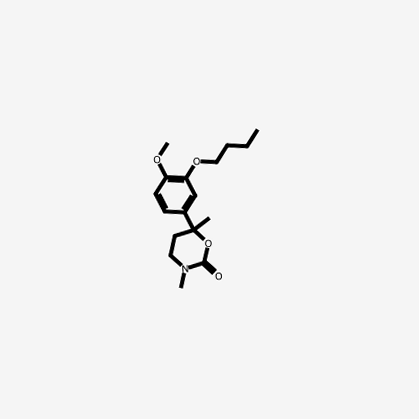 CCCCOc1cc(C2(C)CCN(C)C(=O)O2)ccc1OC